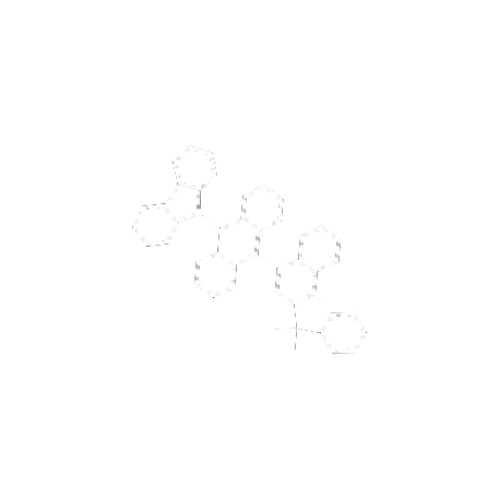 CC1(C)c2ccccc2-c2c1cc(-c1c3ccccc3c(-n3c4ccccc4c4ccccc43)c3ccccc13)c1ccccc21